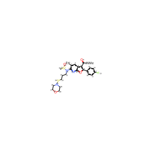 CCc1cc2c(C(=O)NC)c(-c3ccc(F)cc3)oc2nc1N(CCCSN1CCOCC1)[S+](C)[O-]